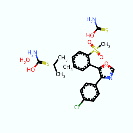 C.CCC.CS(=O)(=O)c1ccccc1-c1ocnc1-c1ccc(Cl)cc1.NC(O)=S.NC(O)=S.O